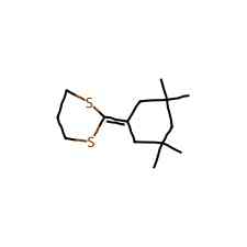 CC1(C)CC(=C2SCCCS2)CC(C)(C)C1